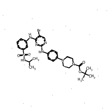 CC(C)NS(=O)(=O)c1cccc(Nc2nc(Nc3ccc(N4CCN(C(=O)OC(C)(C)C)CC4)cc3)ncc2Br)c1